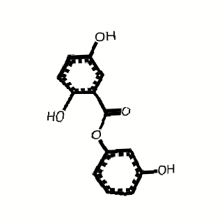 O=C(Oc1cccc(O)c1)c1cc(O)ccc1O